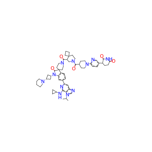 CC(C)n1cnc2cc(-c3ccc4c(c3)N([C@H]3C[C@@H](N5CCCCC5)C3)C(=O)C43CCN(C(=O)C4CN(C(=O)C5CCN(c6ccc(C7CCC(=O)NC7=O)cn6)CC5)CCC45CCC5)CC3)nc(NC3CC3)c21